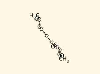 C=CC(=O)OCCCCOc1ccc(C#Cc2ccc(C#Cc3ccc(C(=O)Sc4ccc(OCCOC(=O)C=C)cc4)cc3)cc2)cc1